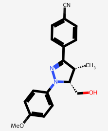 COc1ccc(N2N=C(c3ccc(C#N)cc3)[C@H](C)[C@@H]2CO)cc1